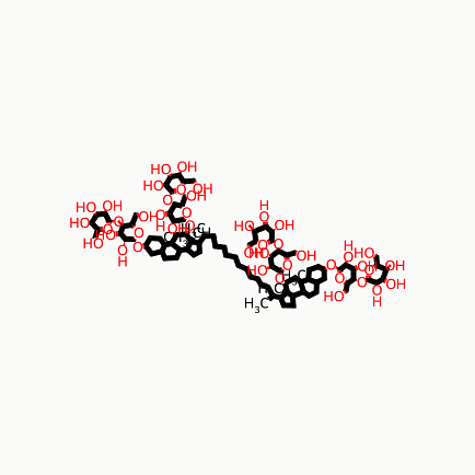 CC(CCCCCCCCCCCC(C)C1CCC2C3CCC4CC(O[C@@H]5OC(CO)[C@@H](O[C@@H]6OC(CO)[C@@H](O)C(O)[C@@H]6O)C(O)[C@@H]5O)CCC4(C)C3CC(O[C@@H]3OC(CO)[C@@H](O[C@@H]4OC(CO)[C@@H](O)C(O)[C@@H]4O)C(O)[C@@H]3O)C12C)C1CCC2C3CCC4CC(O[C@H]5OC(CO)[C@H](O[C@H]6OC(CO)[C@H](O)C(O)[C@H]6O)C(O)[C@H]5O)CCC4(C)C3CC(O[C@H]3OC(CO)[C@H](O[C@H]4OC(CO)[C@H](O)C(O)[C@H]4O)C(O)[C@H]3O)C12C